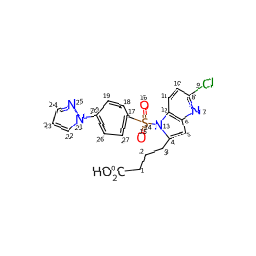 O=C(O)CCCc1cc2nc(Cl)ccc2n1S(=O)(=O)c1ccc(-n2cccn2)cc1